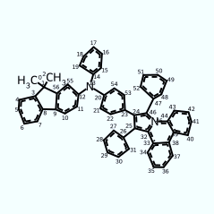 CC1(C)c2ccccc2-c2ccc(N(c3ccccc3)c3ccc(-c4c(-c5ccccc5)c5c6ccccc6c6ccccc6n5c4-c4ccccc4)cc3)cc21